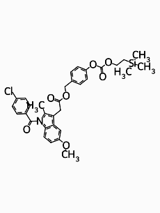 COc1ccc2c(c1)c(CC(=O)OCc1ccc(OC(=O)OCC[Si](C)(C)C)cc1)c(C)n2C(=O)c1ccc(Cl)cc1